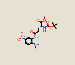 CNc1ccc([N+](=O)[O-])cc1NC(=O)CC[C@@H](NC(=O)OC(C)(C)C)C(=O)OC